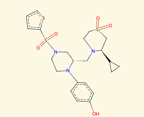 O=S1(=O)CCN(C[C@H]2CN(S(=O)(=O)c3cccs3)CCN2c2ccc(O)cc2)[C@H](C2CC2)C1